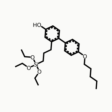 CCCCCOc1ccc(-c2ccc(O)cc2CCC[Si](OCC)(OCC)OCC)cc1